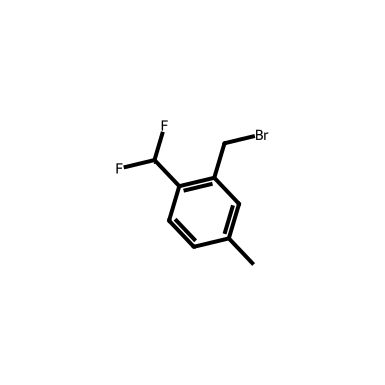 Cc1ccc([C](F)F)c(CBr)c1